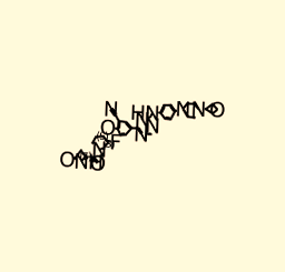 N#Cc1cc(-c2ncnc(Nc3ccc(N4CCN(C5COC5)CC4)cc3)n2)ccc1O[C@H]1CCN(C(=O)[C@@H]2CC(=O)N2)C[C@@H]1F